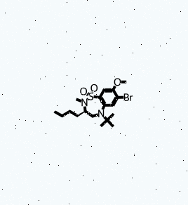 CCCC[C@@H]1CN(C(C)(C)C)c2cc(Br)c(OC)cc2S(=O)(=O)N1C